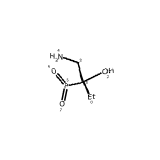 CCC(O)(CN)P(=O)=O